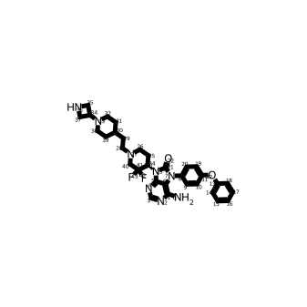 Nc1ncnc2c1n(-c1ccc(Oc3ccccc3)cc1)c(=O)n2[C@@H]1CCN(CCC2CCN(C3CNC3)CC2)CC1(F)F